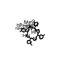 CCCCCCC1(O)c2nc(c(-c3cccc(OC)c3)c3ccc([nH]3)c(-c3cccc(C)c3)c3nc(c(-c4cccc(C)c4)c4ccc([nH]4)c2-c2cccc(C)c2)C=C3)C1(O)CCCCC